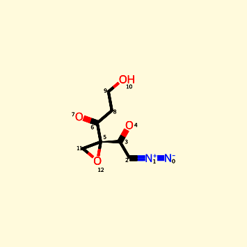 [N-]=[N+]=CC(=O)[C@]1(C(=O)CCO)CO1